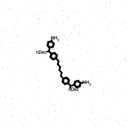 CCCCCCCCCCC(c1ccc(N)cc1)c1ccc(CCCCCCc2ccc(C(CCCCCCCCCC)c3ccc(N)cc3)cc2)cc1